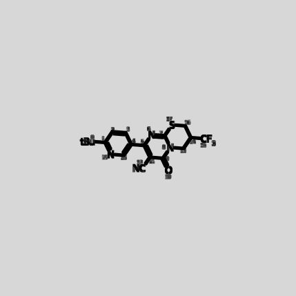 CC(C)(C)c1ccc(-c2nc3n(c(=O)c2C#N)CC(C(F)(F)F)CS3)cn1